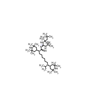 CC(C)N/C(=N\C(=N)N(CCCCCCN(C(C)C)C1CC(C)(C)NC(C)(C)C1)C1CC(C)(C)NC(C)(C)C1)NC(C)(C)CC(C)(C)C